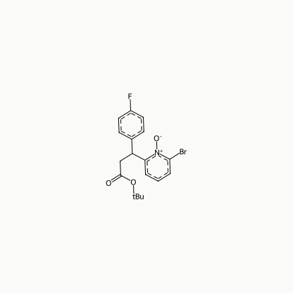 CC(C)(C)OC(=O)CC(c1ccc(F)cc1)c1cccc(Br)[n+]1[O-]